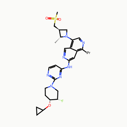 CC(C)c1ncc(N2C[C@H](CS(C)(=O)=O)[C@H]2C)c2cnc(Nc3ccnc(N4CC[C@@H](OC5CC5)[C@@H](F)C4)n3)cc12